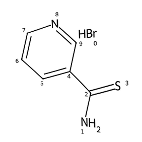 Br.NC(=S)c1cccnc1